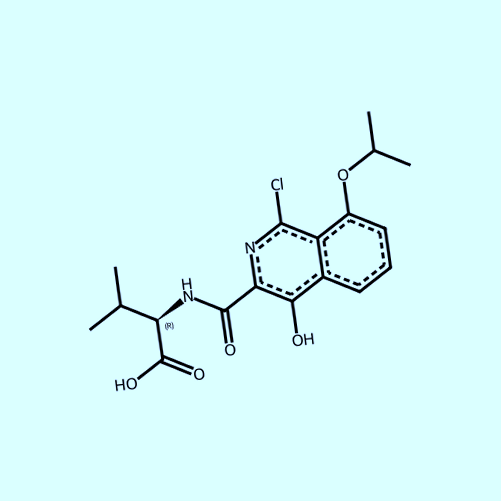 CC(C)Oc1cccc2c(O)c(C(=O)N[C@@H](C(=O)O)C(C)C)nc(Cl)c12